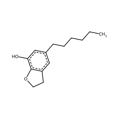 CCCCCCc1cc(O)c2c(c1)CCO2